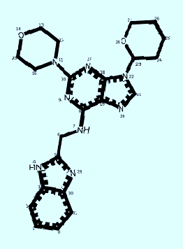 c1ccc2[nH]c(CNc3nc(N4CCOCC4)nc4c3ncn4C3CCCCO3)nc2c1